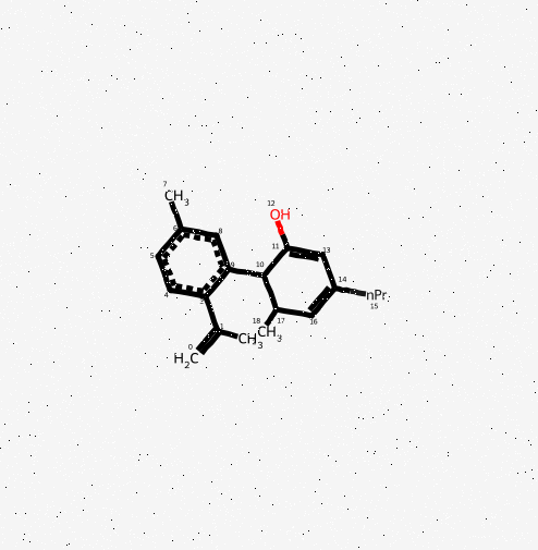 C=C(C)c1ccc(C)cc1C1C(O)=CC(CCC)=CC1C